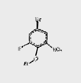 CCOc1c(F)cc(Br)cc1[N+](=O)[O-]